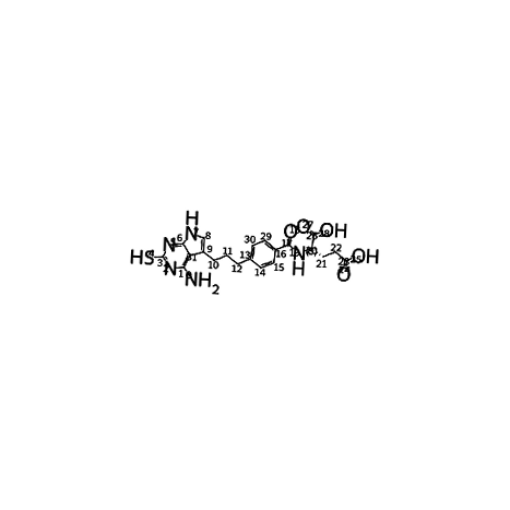 Nc1nc(S)nc2[nH]cc(CCCc3ccc(C(=O)N[C@@H](CCC(=O)O)C(=O)O)cc3)c12